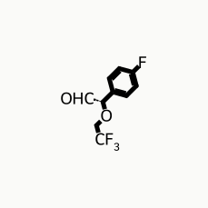 O=C[C@@H](OCC(F)(F)F)c1ccc(F)cc1